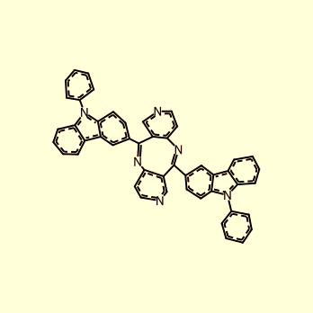 c1ccc(-n2c3ccccc3c3cc(/C4=N/c5ccncc5/C(c5ccc6c(c5)c5ccccc5n6-c5ccccc5)=N\c5ccncc54)ccc32)cc1